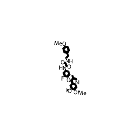 COc1ccc(CCNC(=O)C(=O)N[C@@H]2C=C(F)C(OC3=c4cc(OI)c(OC)cc4=NCC3C)=CC2)cc1